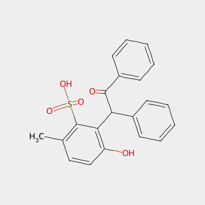 Cc1ccc(O)c(C(C(=O)c2ccccc2)c2ccccc2)c1S(=O)(=O)O